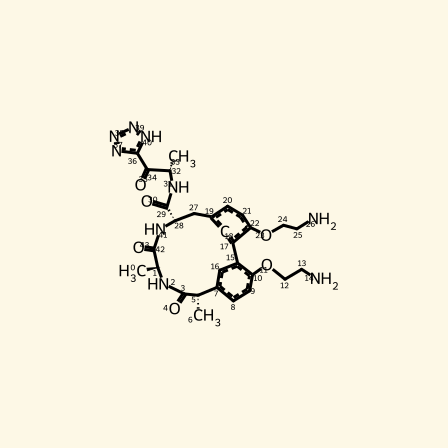 C[C@@H]1NC(=O)[C@@H](C)c2ccc(OCCN)c(c2)-c2cc(ccc2OCCN)C[C@@H](C(=O)N[C@@H](C)C(=O)c2nnn[nH]2)NC1=O